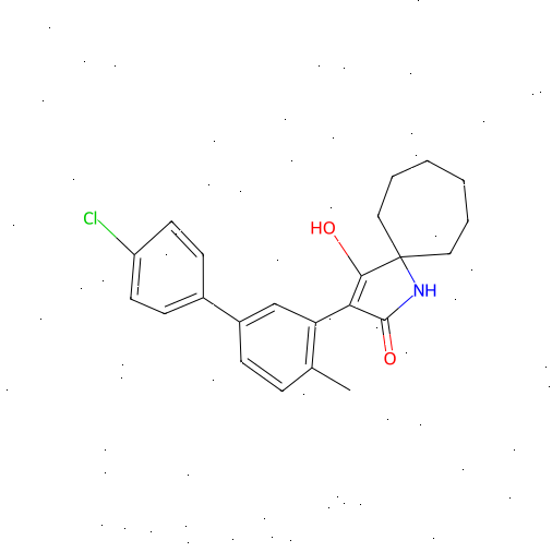 Cc1ccc(-c2ccc(Cl)cc2)cc1C1=C(O)C2(CCCCCC2)NC1=O